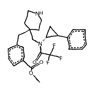 COC(=O)c1cccc(CC2(CN(C(=O)C(F)(F)F)[C@@H]3CC3c3ccccc3)CCNCC2)c1